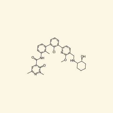 COc1nc(-c2cccc(-c3cccc(NC(=O)c4cc(C)nn(C)c4=O)c3C)c2Cl)ccc1CNC1CCCC[C@@H]1O